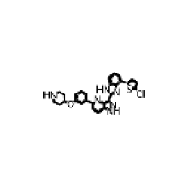 Clc1ccc(-c2cccc3[nH]c(-c4n[nH]c5ccc(-c6cccc(OC7CCNCC7)c6)nc45)nc23)s1